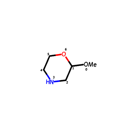 COC1CNCCO1